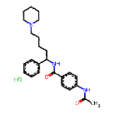 CC(=O)Nc1ccc(C(=O)NC(CCCCN2CCCCC2)c2ccccc2)cc1.Cl